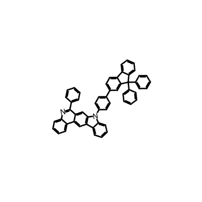 c1ccc(-c2nc3ccccc3c3cc4c5ccccc5n(-c5ccc(-c6ccc7c(c6)C(c6ccccc6)(c6ccccc6)c6ccccc6-7)cc5)c4cc23)cc1